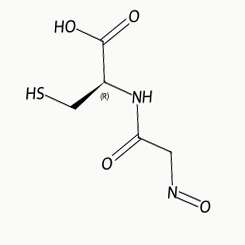 O=NCC(=O)N[C@@H](CS)C(=O)O